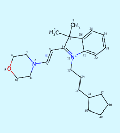 CC1(C)C(/C=C/N2CCOCC2)=[N+](CCCC2CCCC2)c2ccccc21